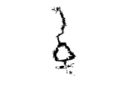 CS(=O)(=O)c1ccc(CCCCN)cc1